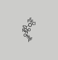 O=C(Cn1cnc2scc(-c3ccc(Cl)c(C(F)(F)F)c3)c2c1=O)N1CC(F)(F)C1